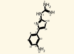 N=C(N)Nc1nc(-c2cccc(N)c2)cs1